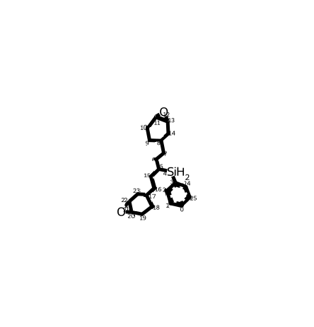 c1ccc([SiH2]C(CCC2CCC3OC3C2)CCC2CCC3OC3C2)cc1